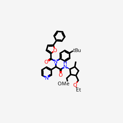 CCOCC1CC(C)[C@H](NC(=O)C(c2cccnc2)N(C(=O)c2ccc(-c3ccccc3)o2)c2ccc(C(C)(C)C)cc2)C1COC